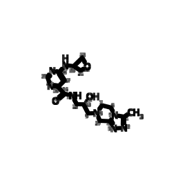 Cc1nnc2n1CCN(C[C@@H](O)CNC(=O)c1cc(NC3COC3)ncn1)C2